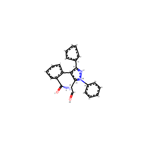 NC(=O)c1ccccc1-c1c(-c2ccccc2)nn(-c2ccccc2)c1C[C]=O